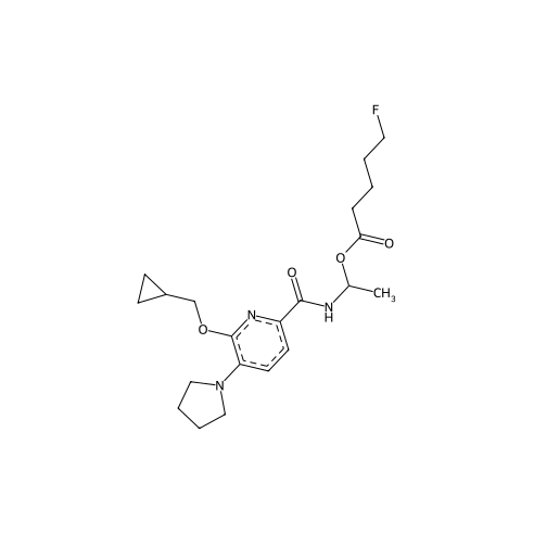 CC(NC(=O)c1ccc(N2CCCC2)c(OCC2CC2)n1)OC(=O)CCCCF